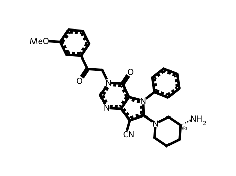 COc1cccc(C(=O)Cn2cnc3c(C#N)c(N4CCC[C@@H](N)C4)n(-c4ccccc4)c3c2=O)c1